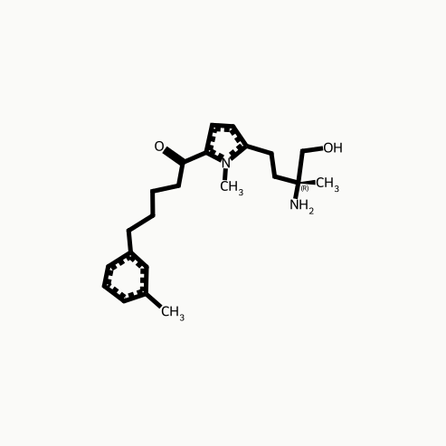 Cc1cccc(CCCCC(=O)c2ccc(CC[C@@](C)(N)CO)n2C)c1